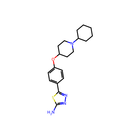 Nc1nnc(-c2ccc(OC3CCN(C4CCCCC4)CC3)cc2)s1